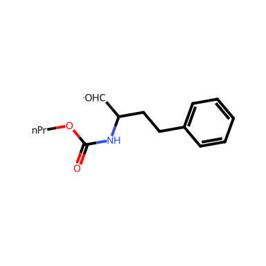 CCCOC(=O)NC([C]=O)CCc1ccccc1